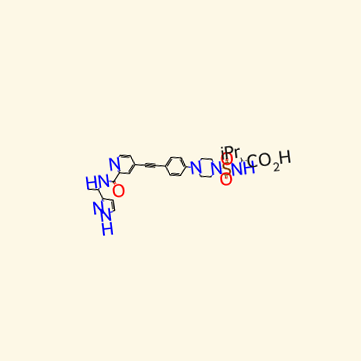 CC(NC(=O)c1cc(C#Cc2ccc(N3CCN(S(=O)(=O)N[C@@H](C(=O)O)C(C)C)CC3)cc2)ccn1)c1cc[nH]n1